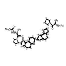 COC(=O)N[C@H](C(=O)N1CCC[C@H]1c1nc2ccc3nc(-c4nc5ccc6nc([C@@H]7CCCN7C(=O)[C@@H](NC(C)=O)C(C)C)[nH]c6c5s4)ccc3c2[nH]1)C(C)C